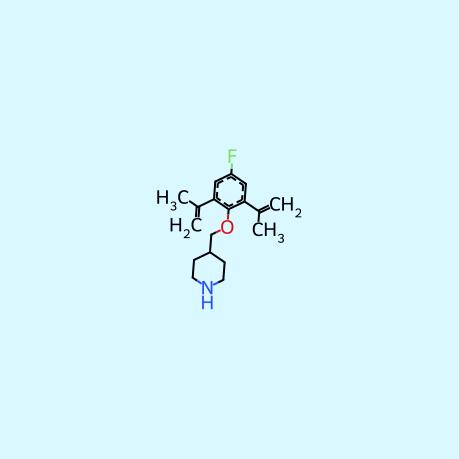 C=C(C)c1cc(F)cc(C(=C)C)c1OCC1CCNCC1